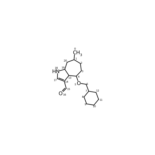 CC1CCC(OCC2CCCCC2)C2C(C=O)=CNC2C1